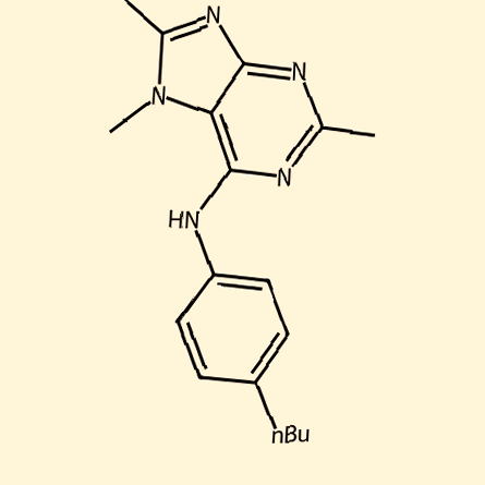 CCCCc1ccc(Nc2nc(C)nc3nc(C)n(C)c23)cc1